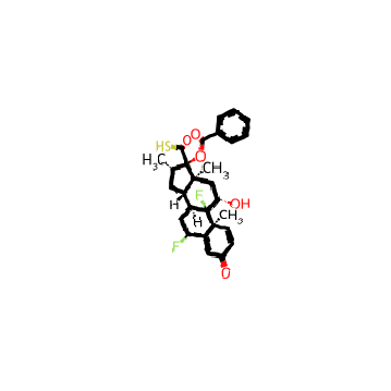 C[C@H]1C[C@H]2[C@@H]3C[C@H](F)C4=CC(=O)C=C[C@]4(C)[C@@]3(F)[C@@H](O)C[C@]2(C)[C@@]1(OC(=O)c1ccccc1)C(=O)S